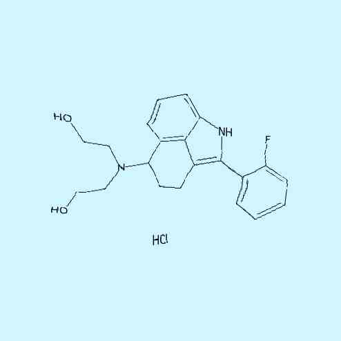 Cl.OCCN(CCO)C1CCc2c(-c3ccccc3F)[nH]c3cccc1c23